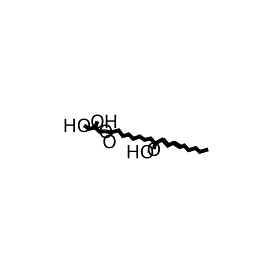 CCCCC/C=C/C=C/C(CCCCCCCC(=O)OCC(O)CO)OO